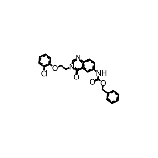 O=C(Nc1ccc2ncn(CCOc3ccccc3Cl)c(=O)c2c1)OCc1ccccc1